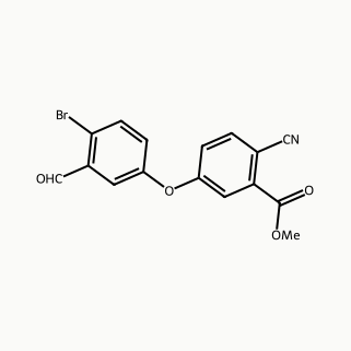 COC(=O)c1cc(Oc2ccc(Br)c(C=O)c2)ccc1C#N